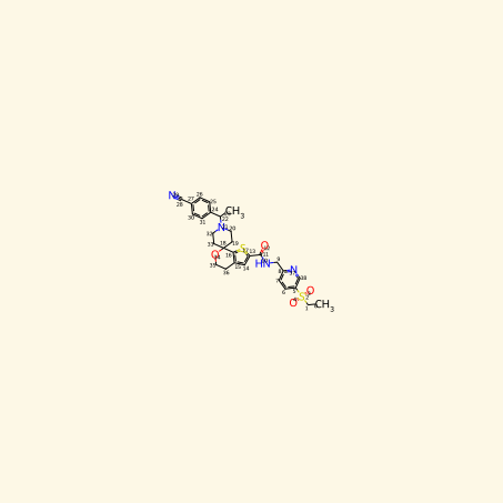 CCS(=O)(=O)c1ccc(CNC(=O)c2cc3c(s2)C2(CCN(C(C)c4ccc(C#N)cc4)CC2)OCC3)nc1